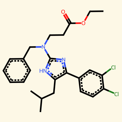 CCOC(=O)CCN(Cc1ccccc1)c1nc(-c2ccc(Cl)c(Cl)c2)c(CC(C)C)[nH]1